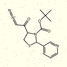 CC(C)(C)OC(=O)N1C(C(=O)C=[N+]=[N-])CSC1c1cccnc1